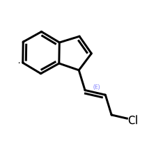 ClC/C=C/C1C=Cc2cc[c]cc21